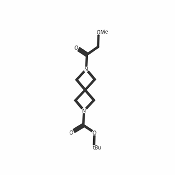 COCC(=O)N1CC2(C1)CN(C(=O)OC(C)(C)C)C2